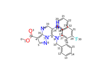 COC(=O)c1cnn2c(N(Cc3ccccc3)Cc3ccccc3)c(Nc3ccc(F)cc3)cnc12